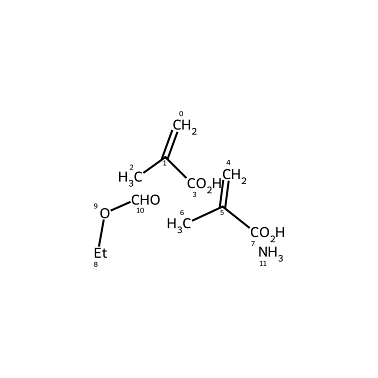 C=C(C)C(=O)O.C=C(C)C(=O)O.CCOC=O.N